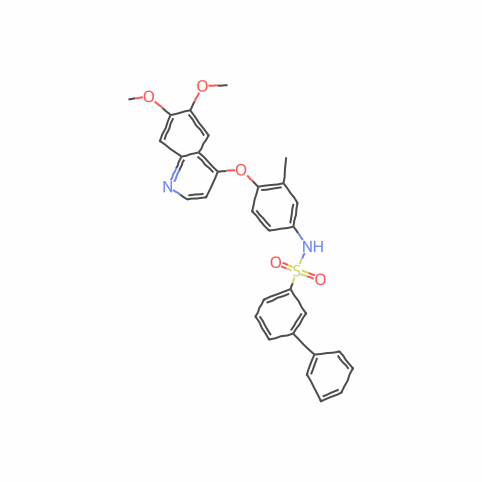 COc1cc2nccc(Oc3ccc(NS(=O)(=O)c4cccc(-c5ccccc5)c4)cc3C)c2cc1OC